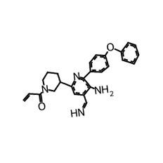 C=CC(=O)N1CCCC(c2cc(C=N)c(N)c(-c3ccc(Oc4ccccc4)cc3)n2)C1